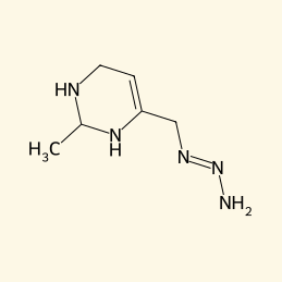 CC1NCC=C(CN=NN)N1